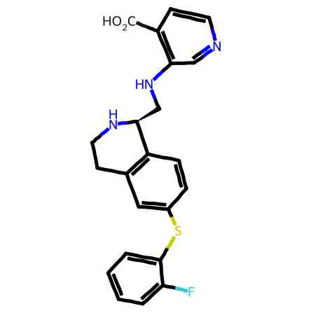 O=C(O)c1ccncc1NC[C@@H]1NCCc2cc(Sc3ccccc3F)ccc21